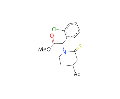 COC(=O)C(c1ccccc1Cl)N1CCC(C(C)=O)CC1=S